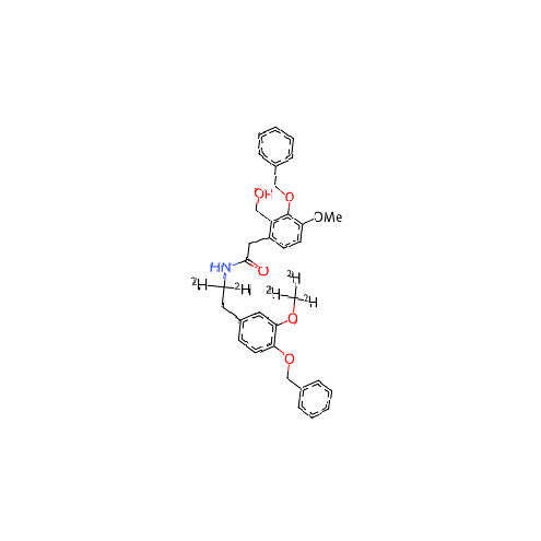 [2H]C([2H])(Cc1ccc(OCc2ccccc2)c(OC([2H])([2H])[2H])c1)NC(=O)Cc1ccc(OC)c(OCc2ccccc2)c1CO